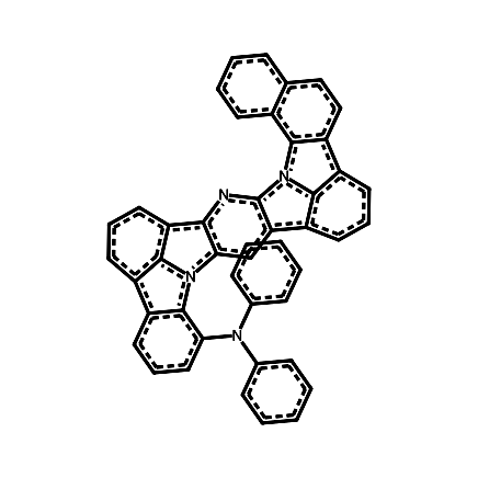 c1ccc(N(c2ccccc2)c2cccc3c4cccc5c6nc7c(cc6n(c23)c45)c2cccc3c4ccc5ccccc5c4n7c23)cc1